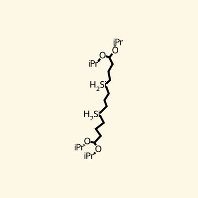 CC(C)OC(CCC[SiH2]CCC[SiH2]CCCC(OC(C)C)OC(C)C)OC(C)C